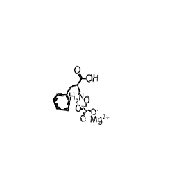 N[C@@H](Cc1ccccc1)C(=O)O.O=S(=O)([O-])[O-].[Mg+2]